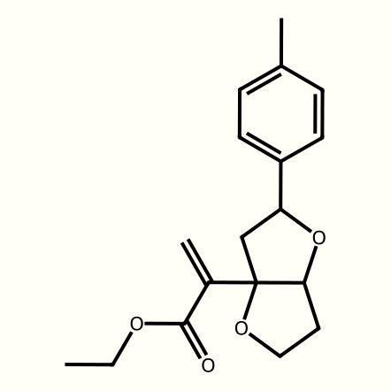 C=C(C(=O)OCC)C12CC(c3ccc(C)cc3)OC1CCO2